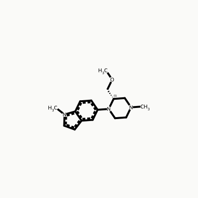 COC[C@@H]1CN(C)CCN1c1ccc2c(ccn2C)c1